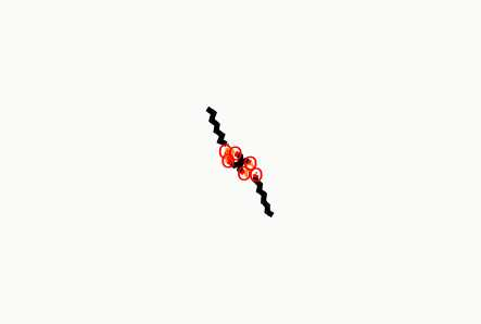 CCCCCCCCOP1OCC2(CO1)COP(OCCCCCCCC)OC2